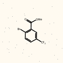 COC(=O)c1cc(C(F)(F)F)ccc1Br